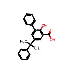 CC(C)(c1ccccc1)c1cc(C(=O)O)c(O)c(-c2ccccc2)c1